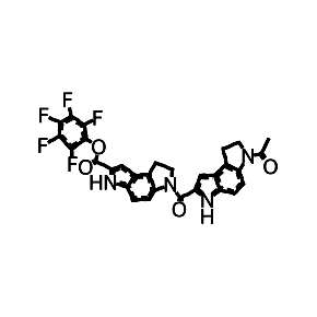 CC(=O)N1CCc2c1ccc1[nH]c(C(=O)N3CCc4c3ccc3[nH]c(C(=O)Oc5c(F)c(F)c(F)c(F)c5F)cc43)cc21